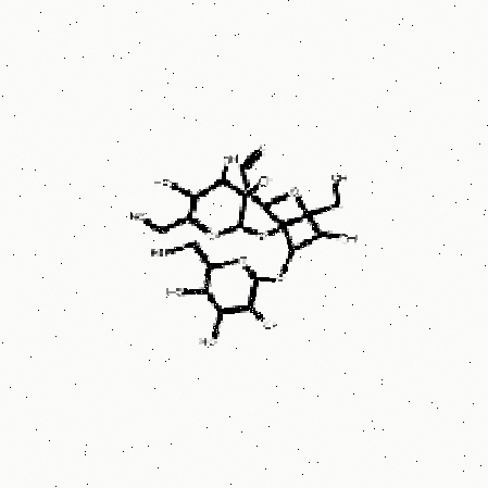 O=COC1OC2(CO)C(O)C(OC3OC(CO)C(O)C(O)C3O)C12OC1OC(CO)C(O)C(O)C1O